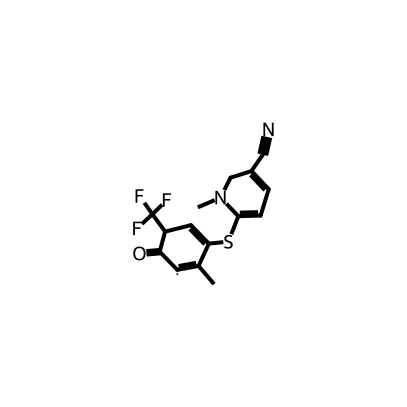 CC1=[C]C(=O)C(C(F)(F)F)C=C1SC1=CC=C(C#N)CN1C